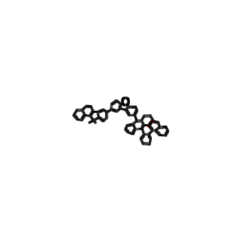 CC1(C)c2ccc(-c3ccc4oc5ccc(-c6c7ccccc7c(-c7ccccc7-c7cccc8ccccc78)c7ccccc67)cc5c4c3)cc2-c2ccc3ccccc3c21